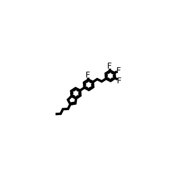 CCCCC1=Cc2cc(-c3ccc(CCc4cc(F)c(F)c(F)c4)c(F)c3)ccc2C1